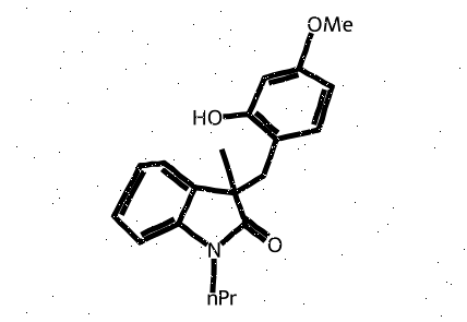 CCCN1C(=O)C(C)(Cc2ccc(OC)cc2O)c2ccccc21